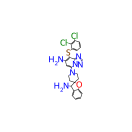 Nc1cc(N2CCC3(CC2)Oc2ccccc2C3N)n2ncnc2c1Sc1cccc(Cl)c1Cl